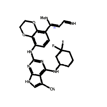 CN/C(=C\C=N)c1ccc(Nc2nc(NC3CCCC(F)(F)C3)c3c(C#N)c[nH]c3n2)c2c1OCCO2